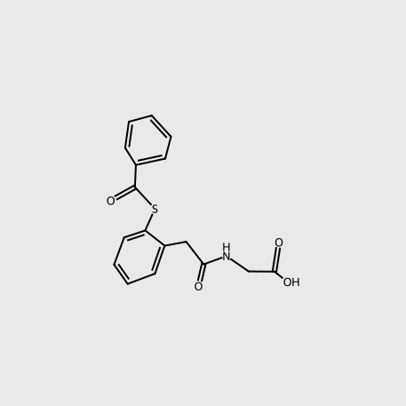 O=C(O)CNC(=O)Cc1ccccc1SC(=O)c1ccccc1